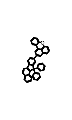 c1ccc(C2(c3ccccc3)c3cc(-c4cc5c6c(cccc6c4)Oc4ccccc4-5)ccc3-c3ccc4ccccc4c32)cc1